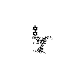 CCc1cc2c(N3CCN(C(=O)c4ccc(-c5ccccc5)cc4)C[C@H]3C)nc(OC[C@H]3COC(C)(C)O3)nc2s1